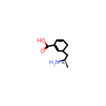 C[C@@H](N)CC1C=C(C(=O)O)C=CC1